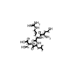 CC(C)C[C@H](NC(=O)[C@H](CCCNC(=N)N)NC(=O)[C@@H](N)CCS)C(=O)N[C@H](CS)C(=O)O